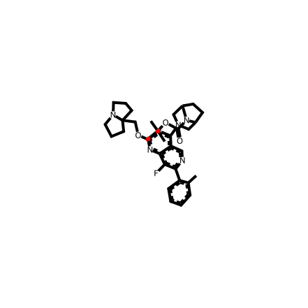 Cc1ccccc1-c1ncc2c(N3CC4CCC(C3)N4C(=O)OC(C)(C)C)nc(OCC34CCCN3CCC4)nc2c1F